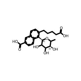 CC1O[C@H](c2c(CCCCC(=O)O)ccc3cc(C(=O)O)ccc23)C(O)C(O)[C@@H]1O